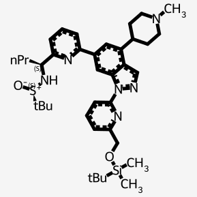 CCC[C@H](N[S@+]([O-])C(C)(C)C)c1cccc(-c2cc(C3CCN(C)CC3)c3cnn(-c4cccc(CO[Si](C)(C)C(C)(C)C)n4)c3c2)n1